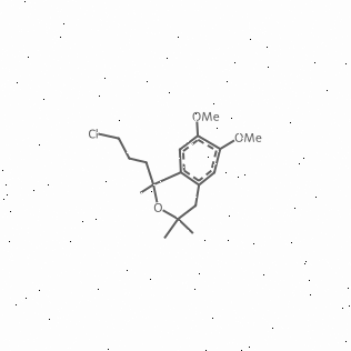 COc1cc2c(cc1OC)C(C)(CCCCl)OC(C)(C)C2